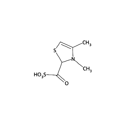 CC1=CSC(C(=O)S(=O)(=O)O)N1C